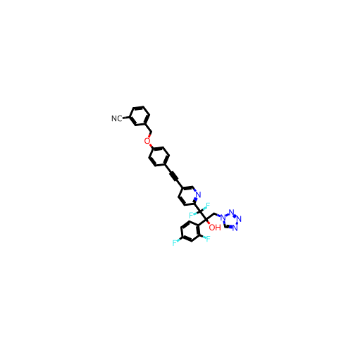 N#Cc1cccc(COc2ccc(C#Cc3ccc(C(F)(F)C(O)(Cn4cnnn4)c4ccc(F)cc4F)nc3)cc2)c1